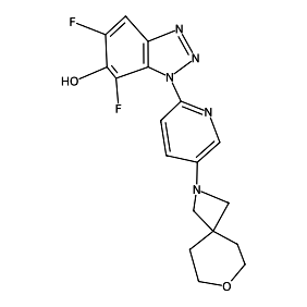 Oc1c(F)cc2nnn(-c3ccc(N4CC5(CCOCC5)C4)cn3)c2c1F